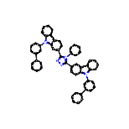 c1ccc(-c2cccc(-n3c4ccccc4c4cc(-c5nnc(-c6ccc7c8ccccc8n(-c8cccc(-c9ccccc9)c8)c7c6)n5-c5ccccc5)ccc43)c2)cc1